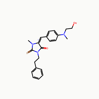 CN1C(=S)N(CCc2ccccc2)C(=O)/C1=C\c1ccc(N(C)CCO)cc1